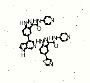 O=C(Nc1ccncc1)c1n[nH]c2ccc(-c3cncc4[nH]ccc34)cc12.O=C(Nc1ccncc1)c1n[nH]c2ccc(-c3cncs3)cc12